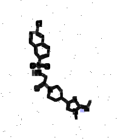 C/N=c1\sc(C2CCN(C(=O)CNS(=O)(=O)c3ccc4cc(Cl)ccc4c3)CC2)cn1C